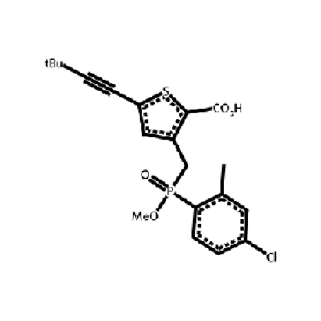 COP(=O)(Cc1cc(C#CC(C)(C)C)sc1C(=O)O)c1ccc(Cl)cc1C